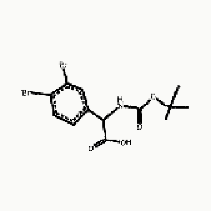 CC(C)(C)OC(=O)NC(C(=O)O)c1ccc(Br)c(Br)c1